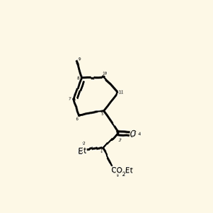 CCOC(=O)C(CC)C(=O)C1CC=C(C)CC1